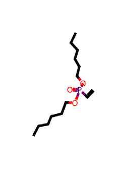 C=CP(=O)(OCCCCCC)OCCCCCC